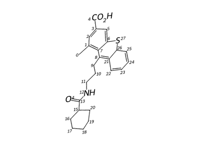 Cc1cc(C(=O)O)cc2c1C(CCCNC(=O)C1CCCCC1)=C1C=CC=CC1S2